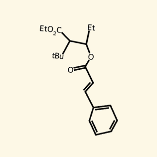 CCOC(=O)C(C(CC)OC(=O)/C=C/c1ccccc1)C(C)(C)C